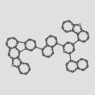 c1ccc2c(-c3cc(-c4cccc5oc6ccccc6c45)cc(-c4cccc5c(-c6ccc7c(c6)-c6c8c-7cccc8cc7oc8ccccc8c67)cccc45)n3)cccc2c1